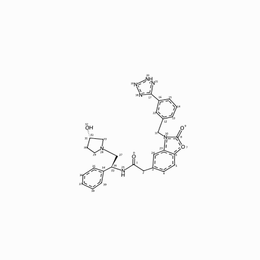 O=C(Cc1ccc2oc(=O)n(Cc3cccc(-c4nn[nH]n4)c3)c2c1)N[C@H](CN1CC[C@H](O)C1)c1ccccc1